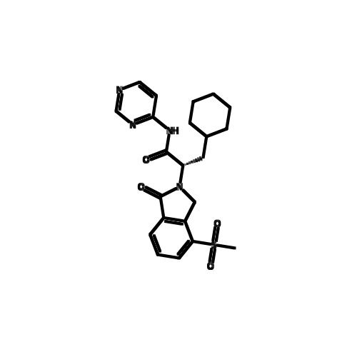 CS(=O)(=O)c1cccc2c1CN([C@@H](CC1CCCCC1)C(=O)Nc1ccncn1)C2=O